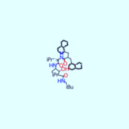 CCC(C)CNC(=O)CC(O)C(CC(C)C)NC(=O)[C@H](CC(C)C)NC(=O)C(Cc1cccc2ccccc12)Cc1cccc2ccccc12